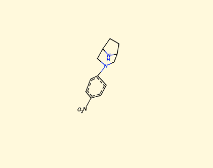 O=[N+]([O-])c1ccc(N2CC3CCC(C2)N3)cc1